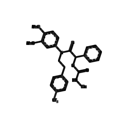 COc1ccc(N(CCc2ccc(C(F)(F)F)cc2)C(=O)C(OC(=O)NC(C)(C)C)c2ccccc2)cc1OC